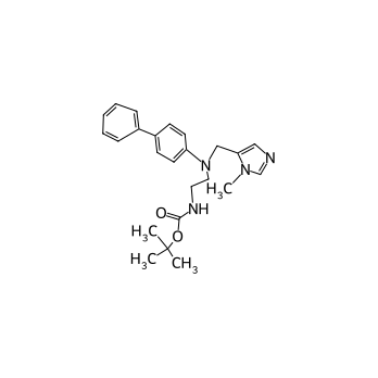 Cn1cncc1CN(CCNC(=O)OC(C)(C)C)c1ccc(-c2ccccc2)cc1